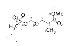 COC(=O)C(C)COCOS(C)(=O)=O